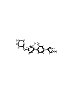 Oc1cc(-c2cn[nH]c2)ccc1-c1cnc(OC2CCNCC2)cn1